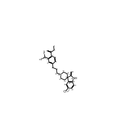 C=C(CC)c1ccc(CCCN2CCC3(CC2)C(=C)Nc2ccc(Cl)cc23)cc1C(F)F